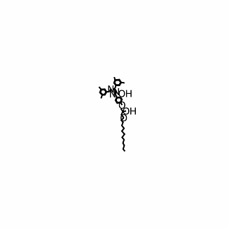 CCCCCCCCCCCCOCC(O)COc1ccc(-c2nc(-c3cc(C)cc(C)c3)nc(-c3cc(C)cc(C)c3)n2)c(O)c1